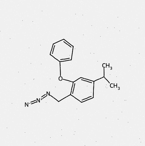 CC(C)c1ccc(CN=[N+]=[N-])c(Oc2ccccc2)c1